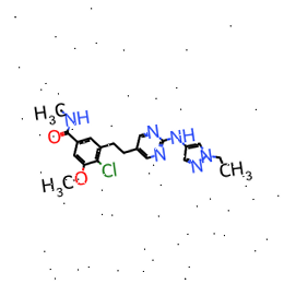 CCn1cc(Nc2ncc(CCc3cc(C(=O)NC)cc(OC)c3Cl)cn2)cn1